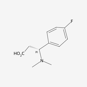 CN(C)[C@H](CC(=O)O)c1ccc(F)cc1